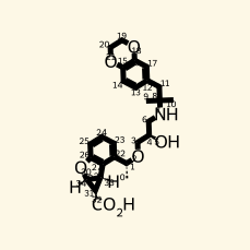 C[C@@H](OC[C@H](O)CNC(C)(C)Cc1ccc2c(c1)OCCO2)c1cccc2c1[C@@H]1[C@H](O2)[C@H]1C(=O)O